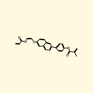 C=CC(=O)O/C=C\Oc1ccc2cc(-c3ccc(OC(=O)C(=C)C)cc3)ccc2c1